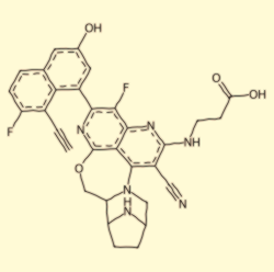 C#Cc1c(F)ccc2cc(O)cc(-c3nc4c5c(c(C#N)c(NCCC(=O)O)nc5c3F)N3CC5CCC(N5)C3CO4)c12